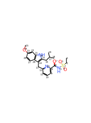 CCS(=O)(=O)NC(=O)c1cccc(Cc2c(CC(C)C)[nH]c3cc(OC)ccc23)n1